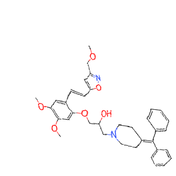 COCc1cc(C=Cc2cc(OC)c(OC)cc2OCC(O)CN2CCC(=C(c3ccccc3)c3ccccc3)CC2)on1